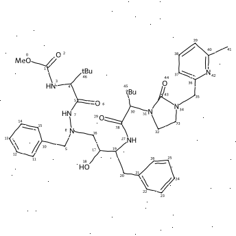 COC(=O)NC(C(=O)NN(Cc1ccccc1)CC(O)C(Cc1ccccc1)NC(=O)C(N1CCN(Cc2cccc(C)n2)C1=O)C(C)(C)C)C(C)(C)C